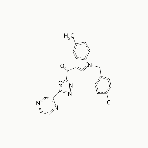 Cc1ccc2c(c1)c(C(=O)c1nnc(-c3cnccn3)o1)cn2Cc1ccc(Cl)cc1